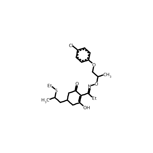 CCSC(C)CC1CC(=O)C(C(CC)=NOC(C)COc2ccc(Cl)cc2)=C(O)C1